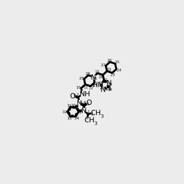 CC(C)n1c(=O)n(C(=O)NCC2CCN(CC(c3nnn[nH]3)C3CCCCC3)CC2)c2ccccc21